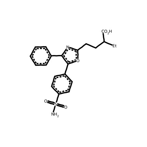 CCC(CCc1nc(-c2ccccc2)c(-c2ccc(S(N)(=O)=O)cc2)o1)C(=O)O